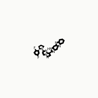 Fc1ccc(F)c([C@H]2CCCN2c2ccn3ncc(-c4nc5cc6nc7ccccc7nc6cc5[nH]4)c3n2)c1